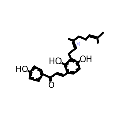 CC(C)=CCC/C(C)=C/Cc1c(O)ccc(C=CC(=O)c2ccc(O)cc2)c1O